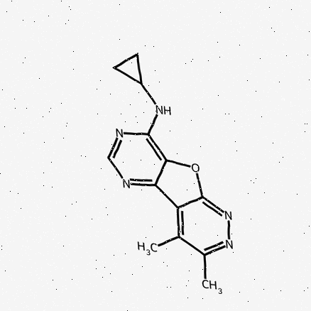 Cc1nnc2oc3c(NC4CC4)ncnc3c2c1C